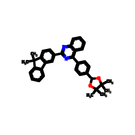 CC1(C)c2ccccc2-c2cc(-c3nc(-c4ccc(B5OC(C)(C)C(C)(C)O5)cc4)c4ccccc4n3)ccc21